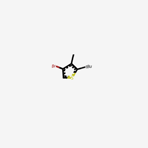 Cc1c(Br)csc1C(C)(C)C